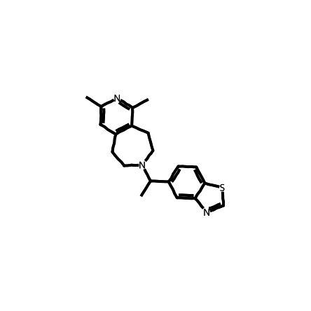 Cc1cc2c(c(C)n1)CCN(C(C)c1ccc3scnc3c1)CC2